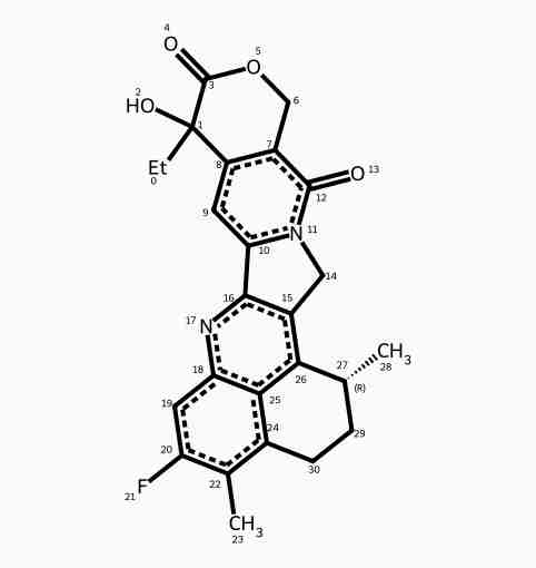 CCC1(O)C(=O)OCc2c1cc1n(c2=O)Cc2c-1nc1cc(F)c(C)c3c1c2[C@H](C)CC3